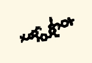 C[C@@H](Cn1c(C#N)cc2cc(CN3CCC(Nc4nc(N)nc5sc(CC(F)(F)F)cc45)CC3)c(O)cc21)N1CCN(S(C)(=O)=O)CC1